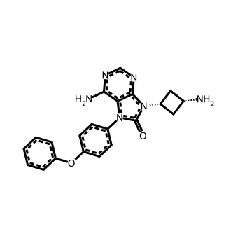 Nc1ncnc2c1n(-c1ccc(Oc3ccccc3)cc1)c(=O)n2[C@H]1C[C@@H](N)C1